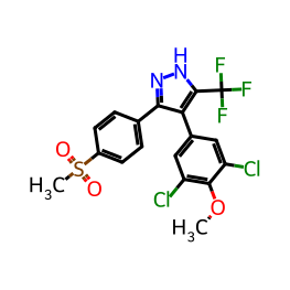 COc1c(Cl)cc(-c2c(-c3ccc(S(C)(=O)=O)cc3)n[nH]c2C(F)(F)F)cc1Cl